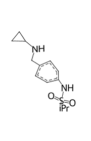 CC(C)S(=O)(=O)Nc1ccc(CNC2CC2)cc1